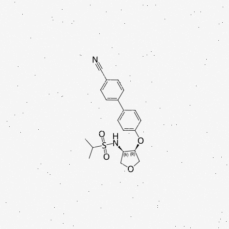 CC(C)S(=O)(=O)N[C@@H]1COC[C@@H]1Oc1ccc(-c2ccc(C#N)cc2)cc1